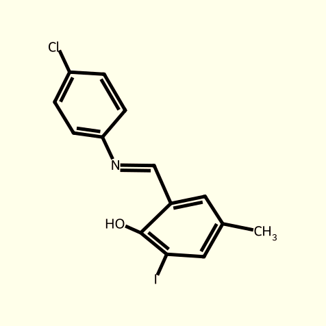 Cc1cc(I)c(O)c(/C=N/c2ccc(Cl)cc2)c1